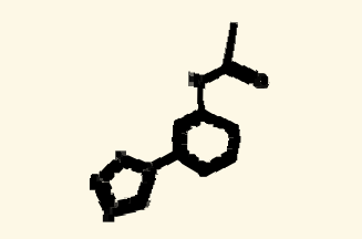 CC(=O)Nc1cccc(-n2[c]nnn2)c1